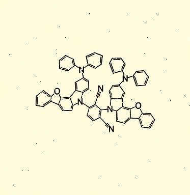 N#Cc1ccc(-n2c3ccc(N(c4ccccc4)c4ccccc4)cc3c3c4oc5ccccc5c4ccc32)c(C#N)c1-n1c2ccc(N(c3ccccc3)c3ccccc3)cc2c2c3oc4ccccc4c3ccc21